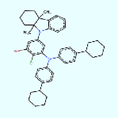 CC12CCCCC1(C)N(c1cc(Br)c(Cl)c(N(c3ccc(C4CCCCC4)cc3)c3ccc(C4CCCCC4)cc3)c1)c1ccccc12